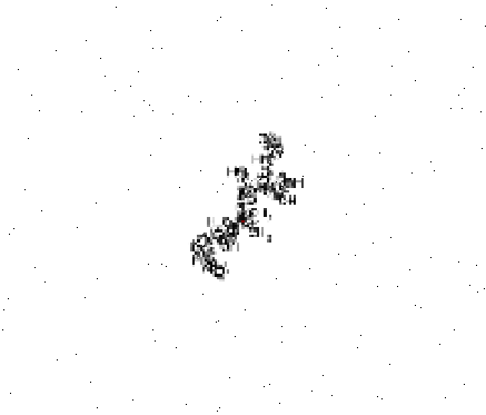 Cc1c(-c2ccc(N3CCc4cccc(C(=O)Nc5nc6ccccc6s5)c4C3)nc2C(=O)O)cnn1CC12CC3(C)CC(C)(C1)CC(OCCN(CCCCO)C(=O)OCc1ccc(CCCNC(=O)CN4C(=O)C=CC4=O)cc1O[C@H]1C[C@@H](O)C[C@@H](C(=O)O)O1)(C3)C2